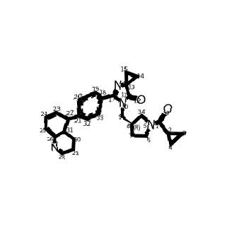 O=C(C1CC1)N1CC[C@@H](CN2C(=O)C3(CC3)N=C2c2ccc(C3C=CC=C4N=CCCC43)cc2)C1